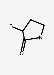 O=C1[N]CCC1F